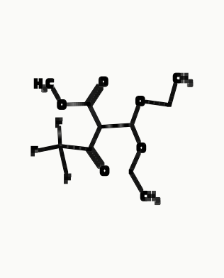 CCOC(OCC)C(C(=O)OC)C(=O)C(F)(F)F